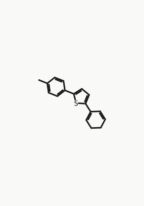 Cc1ccc(-c2ccc(C3=CCCC=C3)s2)cc1